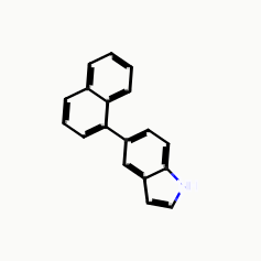 c1ccc2c(-c3ccc4[nH]ccc4c3)cccc2c1